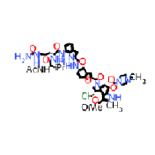 COC(=O)c1c(C)[nH]c2c(OC(=O)N3CCN(C)CC3)cc3c(c12)[C@H](CCl)CN3C(=O)c1cc2cc(NC(=O)c3cc4cccc(NC(=O)[C@H](CCCNC(N)=O)NC(=O)[C@@H](NC(C)=O)C(C)C)c4[nH]3)ccc2o1